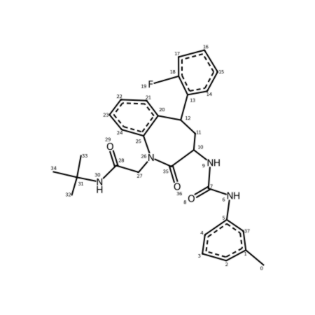 Cc1cccc(NC(=O)NC2CC(c3ccccc3F)c3ccccc3N(CC(=O)NC(C)(C)C)C2=O)c1